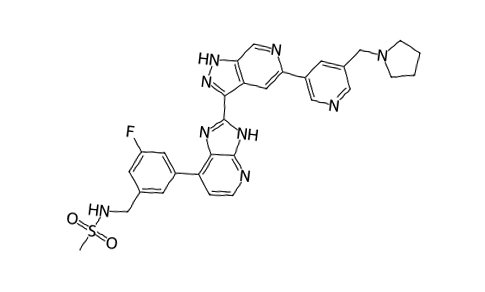 CS(=O)(=O)NCc1cc(F)cc(-c2ccnc3[nH]c(-c4n[nH]c5cnc(-c6cncc(CN7CCCC7)c6)cc45)nc23)c1